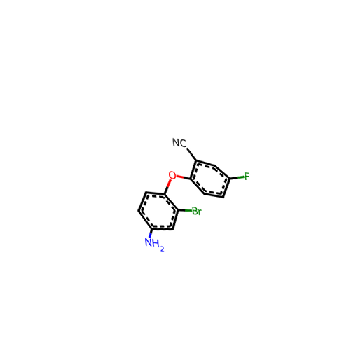 N#Cc1cc(F)ccc1Oc1ccc(N)cc1Br